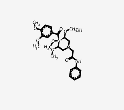 COc1ccc(C(=O)[N+]2(OC)C(OC)CN(CC(=O)Nc3ccccc3)CC2OC)cc1OC.Cl